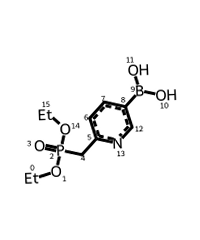 CCOP(=O)(Cc1ccc(B(O)O)cn1)OCC